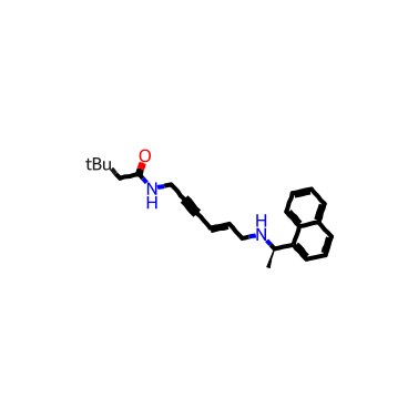 C[C@@H](NC/C=C/C#CCNC(=O)CC(C)(C)C)c1cccc2ccccc12